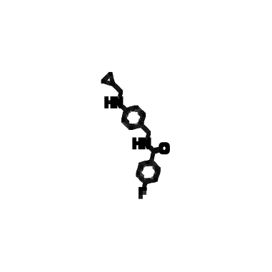 O=C(NCc1ccc(NCC2CC2)cc1)c1ccc(F)cc1